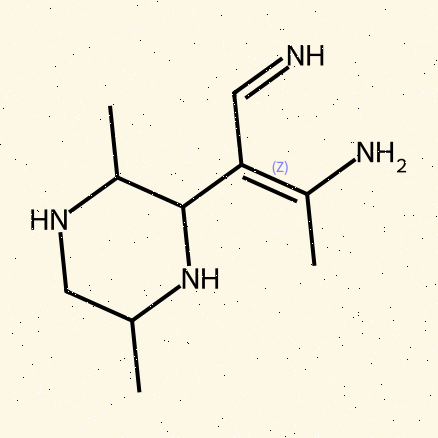 C/C(N)=C(/C=N)C1NC(C)CNC1C